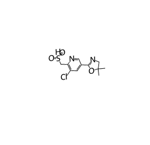 CC1(C)CN=C(c2cnc(C[SH](=O)=O)c(Cl)c2)O1